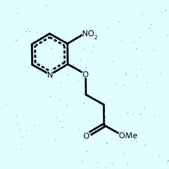 COC(=O)CCOc1ncccc1[N+](=O)[O-]